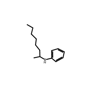 CCCCCCC(C)Bc1ccccc1